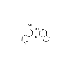 OC[C@H](O)[C@H](Oc1cccc2sccc12)c1cccc(F)c1